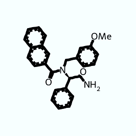 COc1cccc(CN(C(=O)c2ccc3ccccc3c2)[C@@H](C(N)=O)c2ccccc2)c1